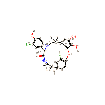 COc1ccc([C@@H]2C(=O)N[C@H](C)[C@H](C)c3ccc(c(Cl)c3)Oc3cc(cc(O)c3OC)[C@@H](C)CN2C)cc1Br